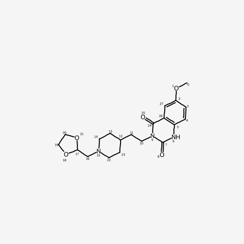 COc1ccc2[nH]c(=O)n(CCC3CCN(CC4OCCO4)CC3)c(=O)c2c1